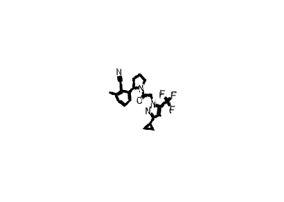 Cc1cccc(C2CCCN2C(=O)Cn2nc(C3CC3)cc2C(F)(F)F)c1C#N